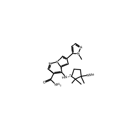 CNC1(C)CC[C@@H](Nc2c(C(N)=O)cnn3cc(-c4ccnn4C)cc23)C1(C)C